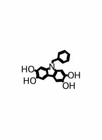 Oc1cc2c3cc(O)c(O)cc3n(Cc3ccccc3)c2cc1O